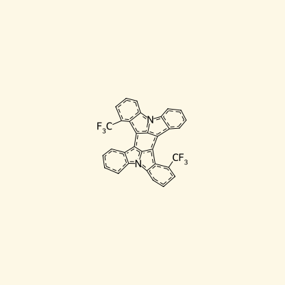 FC(F)(F)c1cccc2c1c1c3c4ccccc4n4c5cccc(C(F)(F)F)c5c(c5c6ccccc6n2c51)c34